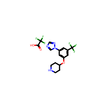 FC(F)(F)c1cc(OC2CCNCC2)cc(-n2cncn2)c1.O=C(O)C(F)(F)F